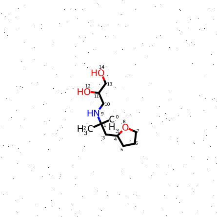 CC(C)(CC1CCCO1)NCC(O)CO